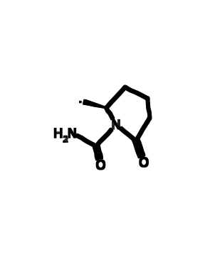 [CH2][C@H]1CCCC(=O)N1C(N)=O